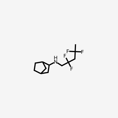 CC(F)(F)CC(F)(F)CNC1CC2CCC1C2